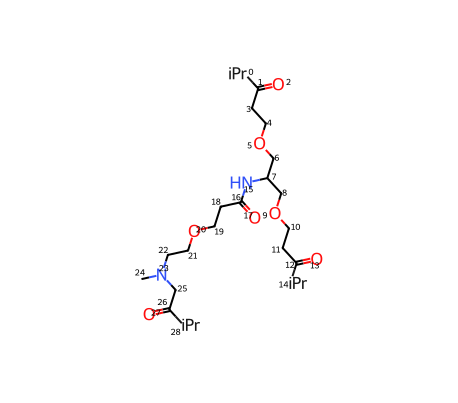 CC(C)C(=O)CCOCC(COCCC(=O)C(C)C)NC(=O)CCOCCN(C)CC(=O)C(C)C